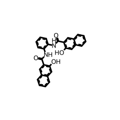 O=C(Nc1ccccc1NC(=O)c1cc2ccccc2cc1O)c1cc2ccccc2cc1O